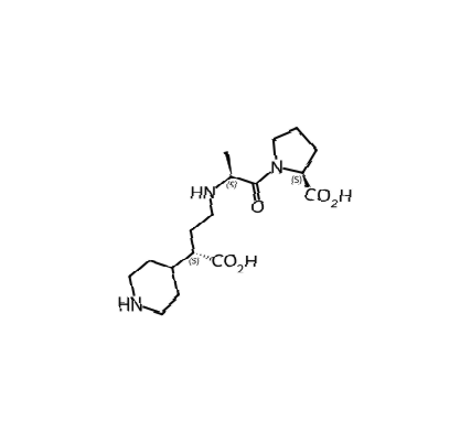 C[C@H](NCC[C@H](C(=O)O)C1CCNCC1)C(=O)N1CCC[C@H]1C(=O)O